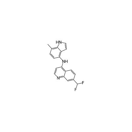 Cc1ccc(Nc2ccnc3cc(C(F)F)ccc23)c2cc[nH]c12